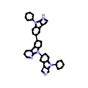 C1=[N+]=Cc2c1c1cc(-n3c4ccc(-c5ccc6c(c5)c5cc[nH]c5n6-c5ccccc5)cc4c4cccnc43)ccc1n2-c1ccccc1